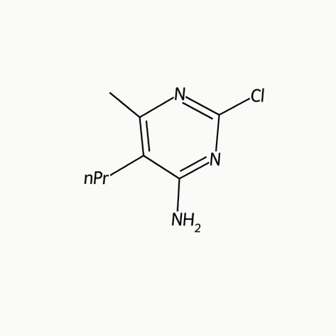 CCCc1c(C)nc(Cl)nc1N